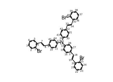 Brc1ccccc1C=Cc1ccc(N(c2ccc(C=Cc3ccccc3Br)cc2)c2ccc(C=Cc3ccccc3Br)cc2)cc1